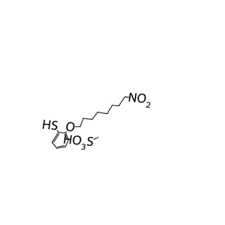 CS(=O)(=O)O.O=[N+]([O-])CCCCCCCCOc1ccccc1S